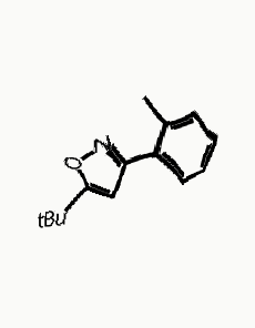 Cc1ccccc1-c1cc(C(C)(C)C)on1